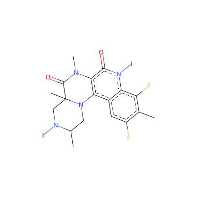 Cc1c(F)cc2c3c(c(=O)n(I)c2c1F)N(C)C(=O)C1(C)CN(I)C(C)CN31